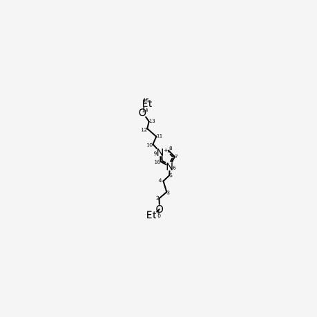 CCOCCCCn1cc[n+](CCCCOCC)c1